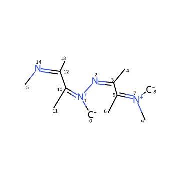 [CH2-][N+](/N=C(C)\C(C)=[N+](/[CH2-])C)=C(C)/C(C)=N\C